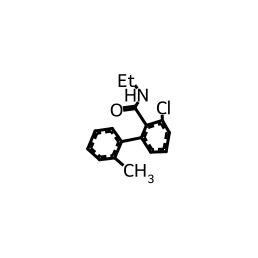 CCNC(=O)c1c(Cl)cccc1-c1ccccc1C